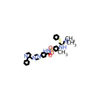 Cc1cc(S(=O)(=O)NC(=O)c2ccc(N3CCN(Cc4cccnc4-c4ccccc4)CC3)cc2)ccc1N[C@H](CCN(C)C)CSc1ccccc1